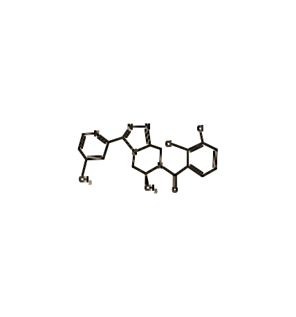 Cc1ccnc(-c2nnc3n2C[C@H](C)N(C(=O)c2cccc(Cl)c2Cl)C3)c1